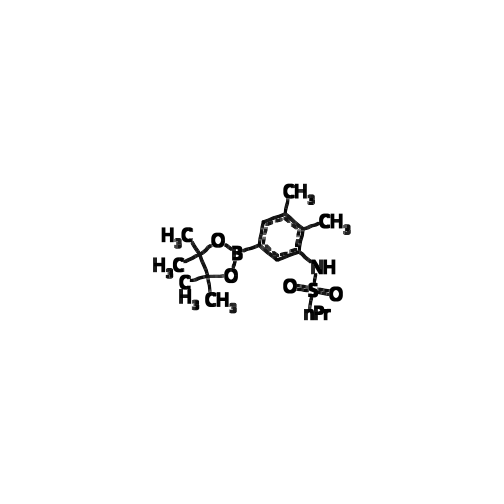 CCCS(=O)(=O)Nc1cc(B2OC(C)(C)C(C)(C)O2)cc(C)c1C